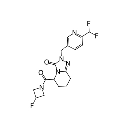 O=C(C1CCCc2nn(Cc3ccc(C(F)F)nc3)c(=O)n21)N1CC(F)C1